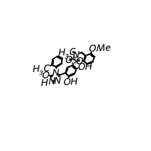 COc1ccccc1CN(C)S(=O)(=O)c1cc(-c2nnc(O)n2-c2ccccc2C)c(O)cc1O